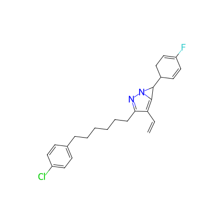 C=Cc1c(CCCCCCc2ccc(Cl)cc2)nn2c1C2C1C=CC(F)=CC1